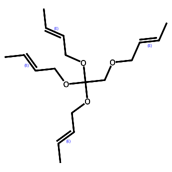 C/C=C/COCC(OC/C=C/C)(OC/C=C/C)OC/C=C/C